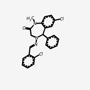 CN1C(=O)CN(N=Cc2ccccc2Cl)C(c2ccccc2)c2cc(Cl)ccc21